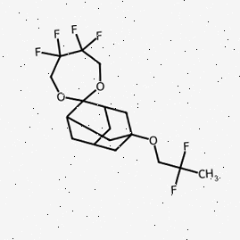 CC(F)(F)COC12CC3CC(C1)C1(OCC(F)(F)C(F)(F)CO1)C(C3)C2